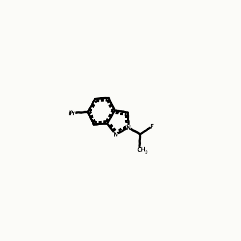 CC(C)c1ccc2cn(C(C)F)nc2c1